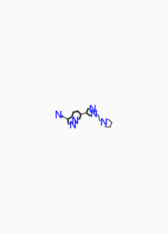 N#Cc1cnn2cc(-c3cnn(CCN4CCCC4)c3)ccc12